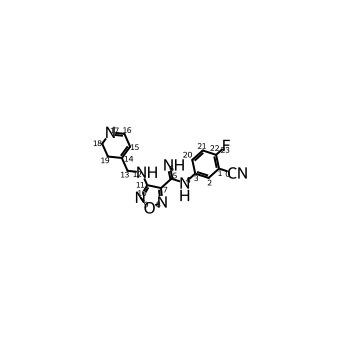 N#Cc1cc(NC(=N)c2nonc2NCC2=CC=NCC2)ccc1F